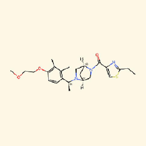 CCc1nc(C(=O)N2C[C@@H]3C[C@H]2CN3[C@@H](C)c2ccc(OCCOC)c(C)c2C)cs1